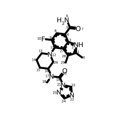 Cc1[nH]c2c(C(N)=O)cc(F)c(N3CCCC(N(C)C(=O)n4cncn4)C3)c2c1C